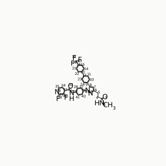 CNC(=O)CCc1cc(-c2ccc(-c3ccc(C(F)(F)F)cc3)cc2)n(-c2ccc(NC(=O)c3ccnc(F)c3F)cc2)n1